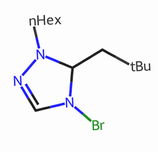 CCCCCCN1N=CN(Br)C1CC(C)(C)C